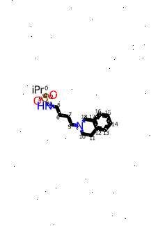 CC(C)S(=O)(=O)NCCCCN1CCc2ccccc2C1